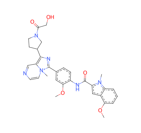 COc1cc(C2=NC(C3CCN(C(=O)CO)C3)=C3C=NC=C[N+]23C)ccc1NC(=O)c1cc2c(OC)cccc2n1C